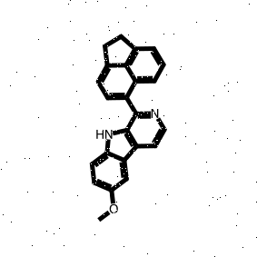 COc1ccc2[nH]c3c(-c4ccc5c6c(cccc46)CC5)nccc3c2c1